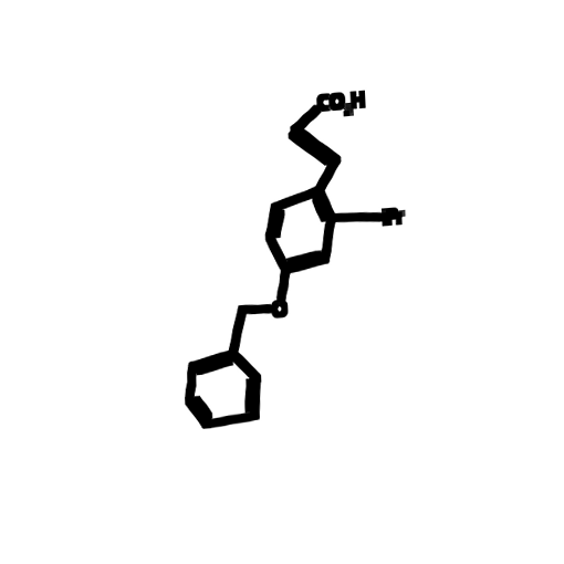 CC(C)c1cc(OCc2ccccc2)ccc1C=CC(=O)O